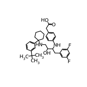 CC(C)(C)c1cccc(C2(NCC(O)C(Cc3cc(F)cc(F)c3)Nc3ccc(CC(=O)O)cc3)CCCCC2)c1